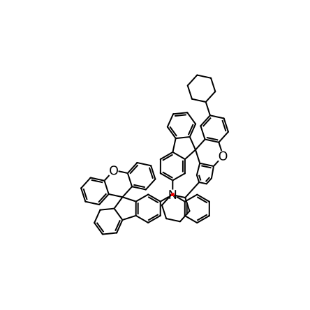 C1=CCC2C(=C1)c1ccc(N(c3ccccc3)c3ccc4c(c3)C3(c5cc(C6CCCCC6)ccc5Oc5ccc(C6CCCCC6)cc53)c3ccccc3-4)cc1C21c2ccccc2Oc2ccccc21